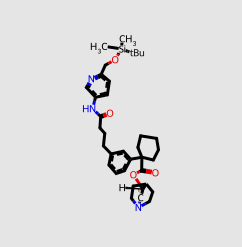 CC(C)(C)[Si](C)(C)OCc1ccc(NC(=O)CCCc2cccc(C3(C(=O)O[C@H]4CN5CCC4CC5)CCCCC3)c2)cn1